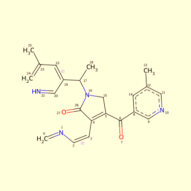 C=N/C=C\C1=C(C(=O)c2cncc(C)c2)CN(C(C)/C(C=N)=C/C(=C)C)C1=O